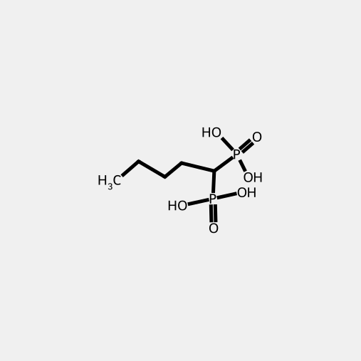 CCCCC(P(=O)(O)O)P(=O)(O)O